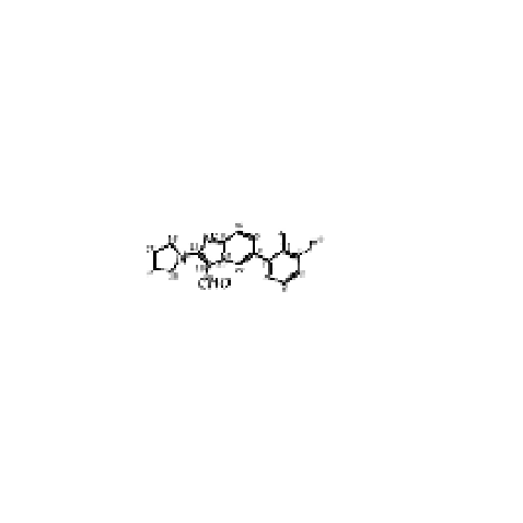 Cc1c(F)cccc1-c1ccc2nc(N3CCCC3)c(C=O)n2c1